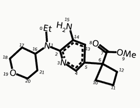 CCN(c1ncc(C2(C(=O)OC)CCC2)cc1N)C1CCOCC1